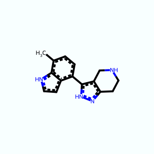 Cc1ccc(-c2[nH]nc3c2CNCC3)c2cc[nH]c12